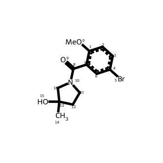 COc1ccc(Br)cc1C(=O)N1CCC(C)(O)C1